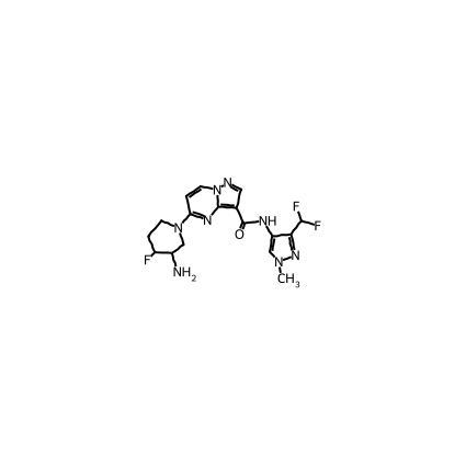 Cn1cc(NC(=O)c2cnn3ccc(N4CCC(F)C(N)C4)nc23)c(C(F)F)n1